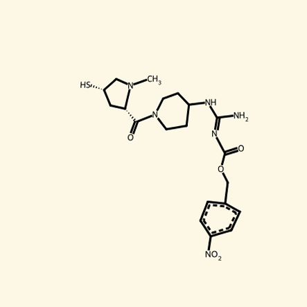 CN1C[C@@H](S)C[C@H]1C(=O)N1CCC(NC(N)=NC(=O)OCc2ccc([N+](=O)[O-])cc2)CC1